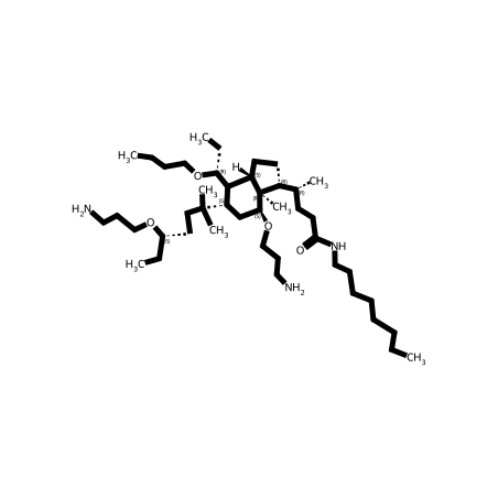 CCCCCCCCNC(=O)CC[C@@H](C)[C@H]1CC[C@H]2C([C@@H](CC)OCCCC)[C@@H](C(C)(C)CC[C@H](CC)OCCCN)C[C@H](OCCCN)[C@]12C